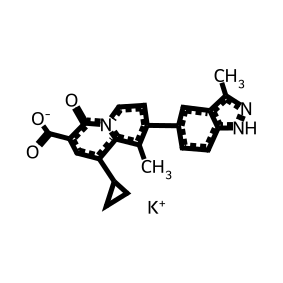 Cc1n[nH]c2ccc(-c3ccn4c(=O)c(C(=O)[O-])cc(C5CC5)c4c3C)cc12.[K+]